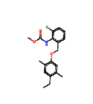 CCc1cc(C)c(OCc2cccc(F)c2NC(=O)OC)cc1C